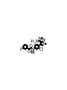 Cn1cc(-c2ccc(NC(=O)C(O)c3cccc(F)c3)cc2Cl)c2c(N)ncnc21